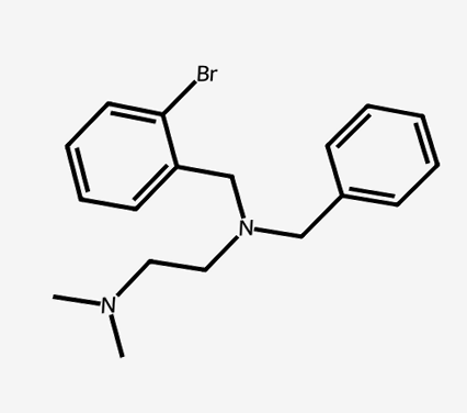 CN(C)CCN(Cc1ccccc1)Cc1ccccc1Br